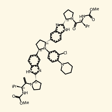 C=C([C@@H](NC(=O)OC)C(C)C)N1CCC[C@H]1c1nc2cc([C@H]3CC[C@H](c4ccc5[nH]c([C@@H]6CCCN6C(=O)[C@@H](NC(=O)OC)C(C)C)nc5c4)N3c3ccc(N4CCCCC4)c(Cl)c3)ccc2[nH]1